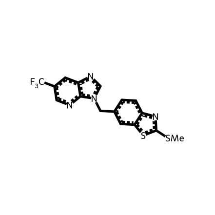 CSc1nc2ccc(Cn3cnc4cc(C(F)(F)F)cnc43)cc2s1